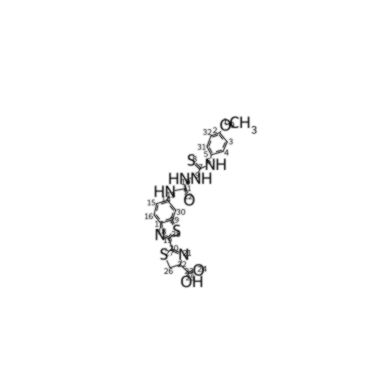 COc1ccc(NC(=S)NNC(=O)Nc2ccc3nc(C4=NC(C(=O)O)CS4)sc3c2)cc1